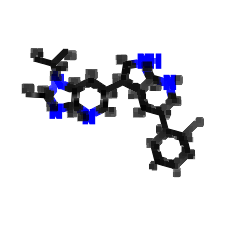 Cc1ccccc1-c1cnc2[nH]cc(-c3cnc4nc(C)n(C(C)C)c4c3)c2c1